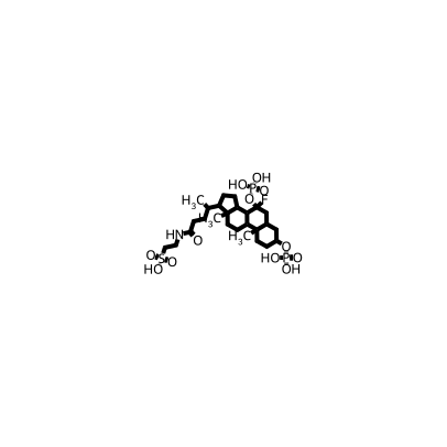 CC(CCC(=O)NCCS(=O)(=O)O)C1CCC2C3C(CCC12C)C1(C)CCC(OP(=O)(O)O)CC1CC3(F)OP(=O)(O)O